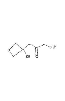 O=C(O)CC(=O)CC1(O)COC1